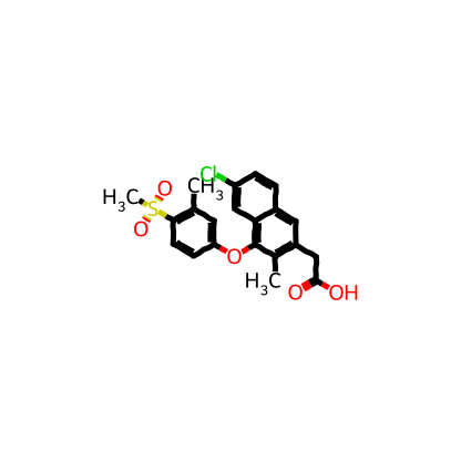 Cc1cc(Oc2c(C)c(CC(=O)O)cc3ccc(Cl)cc23)ccc1S(C)(=O)=O